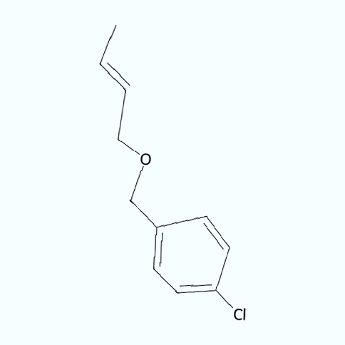 CC=CCOCc1ccc(Cl)cc1